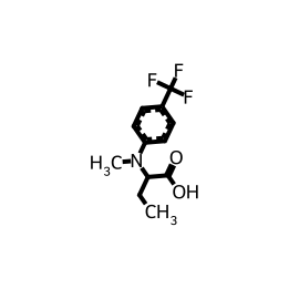 CCC(C(=O)O)N(C)c1ccc(C(F)(F)F)cc1